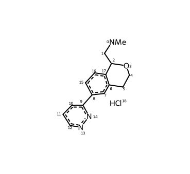 CNCC1OCCc2cc(-c3cccnn3)ccc21.Cl